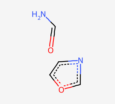 NC=O.c1cocn1